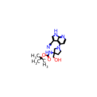 CC(C)(C)OC(=O)NC1(CO)CCN(c2ccnc3[nH]cc(C#N)c23)C1